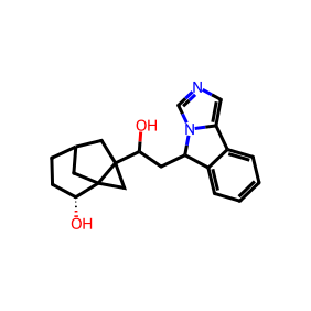 OC(CC1c2ccccc2-c2cncn21)C12CC3CC[C@@H](O)C1(C3)C2